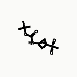 CC(C)(C)OC(=O)NC12CC(S(C)(=O)=O)(C1)C2